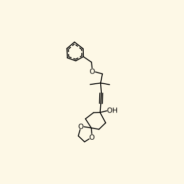 CC(C)(C#CC1(O)CCC2(CC1)OCCO2)COCc1ccccc1